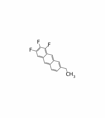 CCc1ccc2cc3cc(F)c(F)c(F)c3cc2c1